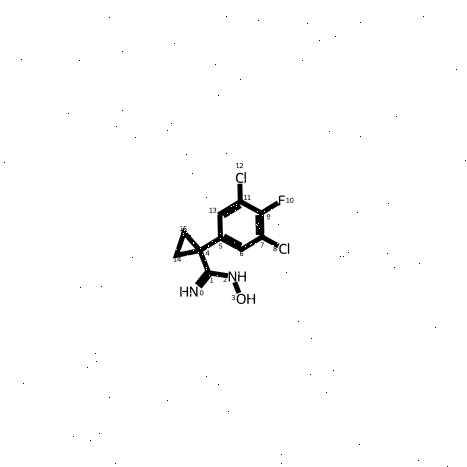 N=C(NO)C1(c2cc(Cl)c(F)c(Cl)c2)CC1